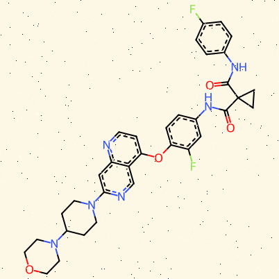 O=C(Nc1ccc(F)cc1)C1(C(=O)Nc2ccc(Oc3ccnc4cc(N5CCC(N6CCOCC6)CC5)ncc34)c(F)c2)CC1